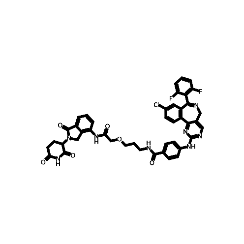 O=C1CCC(N2Cc3c(NC(=O)COCCCNC(=O)c4ccc(Nc5ncc6c(n5)-c5ccc(Cl)cc5C(c5c(F)cccc5F)=NC6)cc4)cccc3C2=O)C(=O)N1